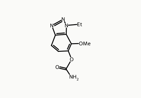 CCn1nnc2ccc(OC(N)=O)c(OC)c21